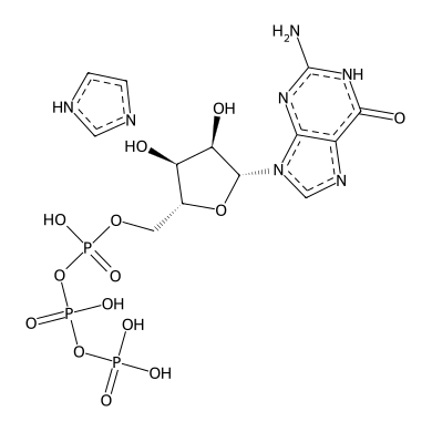 Nc1nc2c(ncn2[C@@H]2O[C@H](COP(=O)(O)OP(=O)(O)OP(=O)(O)O)[C@@H](O)[C@H]2O)c(=O)[nH]1.c1c[nH]cn1